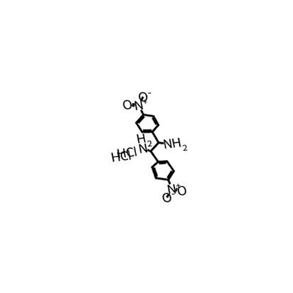 Cl.Cl.NC(c1ccc([N+](=O)[O-])cc1)C(N)c1ccc([N+](=O)[O-])cc1